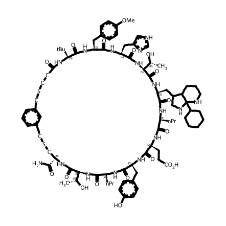 CCC[C@@H]1NC(=O)[C@H](CC2CNC3(C4CCCCC4)NCCCC23)NC(=O)[C@H]([C@@H](C)O)NC(=O)[C@H](Cc2c[nH]cn2)NC(=O)[C@H](Cc2ccc(OC)cc2)NC(=O)[C@H](C(C)(C)C)NC(=O)CCSCc2cccc(c2)CSC[C@@H](C(N)=O)NC(=O)[C@H]([C@@H](C)O)NC(=O)[C@H](CCC)NC(=O)[C@H](Cc2ccc(O)cc2)NC(=O)[C@H](CCC(=O)O)NC1=O